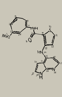 COc1cccc(NC(=O)c2sccc2Nc2ccnc3[nH]ccc23)c1